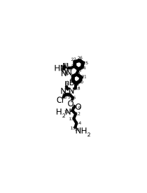 CCCCc1nc(Cl)c(COC(=O)[C@H](N)CCCCN)n1Cc1ccc(-c2ccccc2-c2nn[nH]n2)cc1